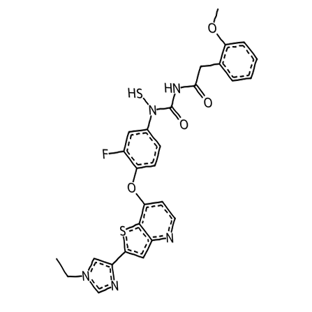 CCn1cnc(-c2cc3nccc(Oc4ccc(N(S)C(=O)NC(=O)Cc5ccccc5OC)cc4F)c3s2)c1